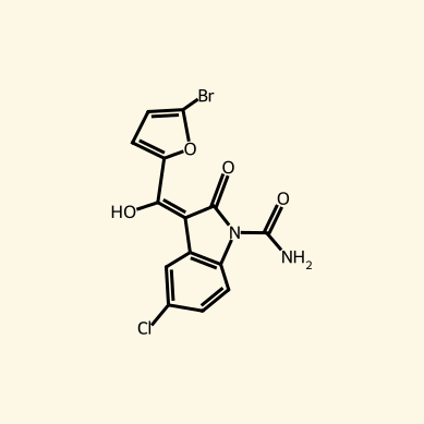 NC(=O)N1C(=O)C(=C(O)c2ccc(Br)o2)c2cc(Cl)ccc21